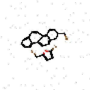 BrCC1CCc2c(ccc3c2ccc2ccccc23)C1.BrCc1ccc(Br)o1